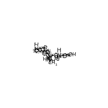 CC1=C2CCCC(OC(=O)NCCOCCO)CCC2C(c2cccc(C3=C(C)c4cc5c(cc4CC3=O)NCCC5)c2)=NN1